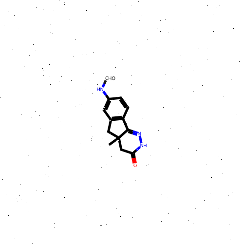 CC12CC(=O)NN=C1c1ccc(NC=O)cc1C2